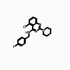 Fc1ccc(CNc2nc(N3CCCCC3)nc3cccc(Cl)c23)cc1